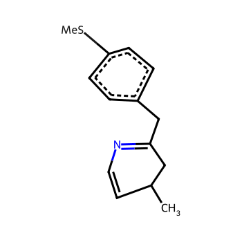 CSc1ccc(CC2=NC=CC(C)C2)cc1